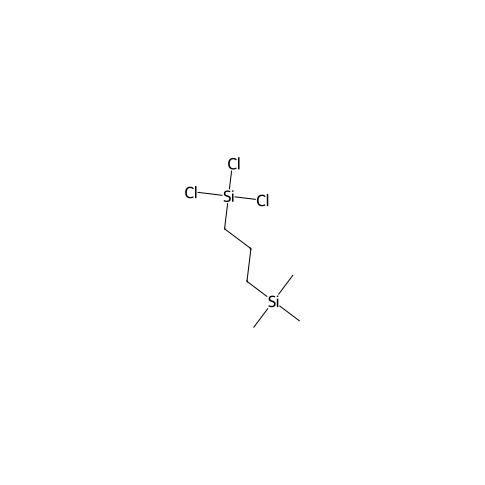 C[Si](C)(C)CCC[Si](Cl)(Cl)Cl